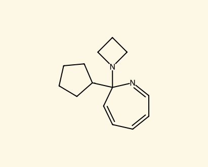 C1=CC=NC([C]2CCCC2)(N2CCC2)C=C1